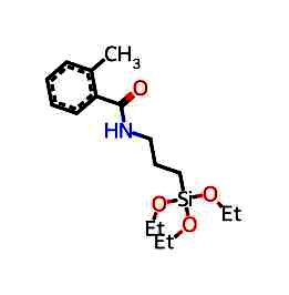 CCO[Si](CCCNC(=O)c1ccccc1C)(OCC)OCC